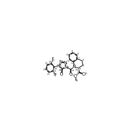 COC(=O)[C@@H]1CCc2ccccc2N1C(=O)n1nnn(-c2c(F)cccc2F)c1=O